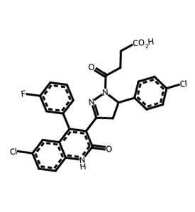 O=C(O)CCC(=O)N1N=C(c2c(-c3cccc(F)c3)c3cc(Cl)ccc3[nH]c2=O)CC1c1ccc(Cl)cc1